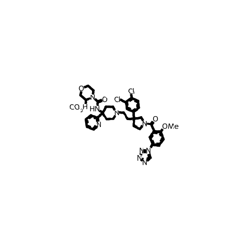 COc1ccc(-n2cnnn2)cc1C(=O)N1CCC(CCN2CCC(NC(=O)N3CCOCC3C(=O)O)(c3ccccn3)CC2)(c2ccc(Cl)c(Cl)c2)C1